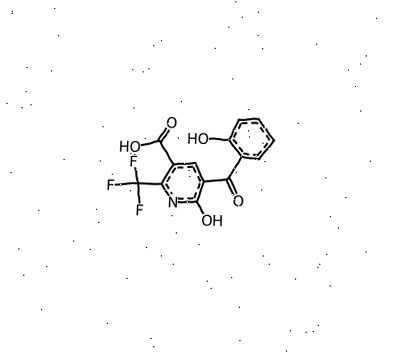 O=C(c1ccccc1O)c1cc(C(=O)O)c(C(F)(F)F)nc1O